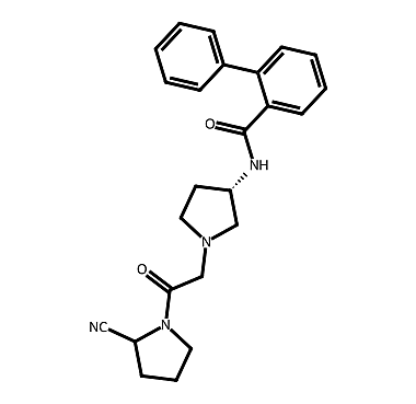 N#CC1CCCN1C(=O)CN1CC[C@H](NC(=O)c2ccccc2-c2ccccc2)C1